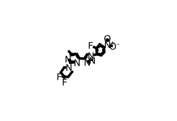 Cc1cc(-c2cn(-c3ccc([N+](=O)[O-])cc3F)nn2)nc(N2CCC(F)(F)CC2)n1